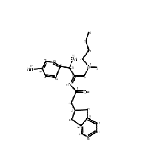 CCCCN(C)C/C(=N\C(=O)CC1Cc2ccccc2C1)[C@H](O)c1ccc(O)cc1